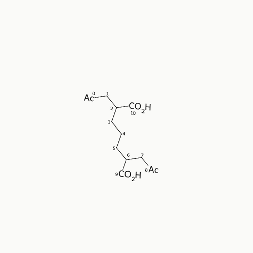 CC(=O)CC(CCCC(CC(C)=O)C(=O)O)C(=O)O